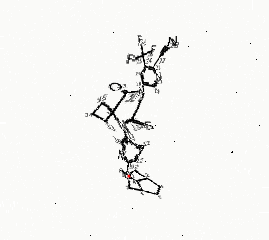 CN1CC2CCC(C1)C2Oc1ccc(N2C(=S)N(c3cnc(C#N)c(C(F)(F)F)c3)C(=O)C23CCC3)cn1